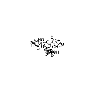 O=C[C@H](O)[C@@H](O)[C@H](O)[C@H](O)C(=O)O[C@H]1[C@@H](O)[C@H](n2ccc(=O)[nH]c2=O)O[C@@H]1COP(=O)(O)OP(=O)(O)O